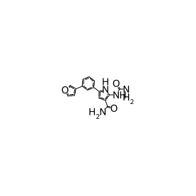 NC(=O)Nc1[nH]c(-c2cccc(-c3ccoc3)c2)cc1C(N)=O